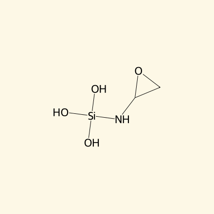 O[Si](O)(O)NC1CO1